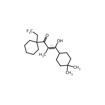 C/C(C(=O)C1(CC(F)(F)F)CCCCC1)=C(/O)C1CCC(C)(C)CC1